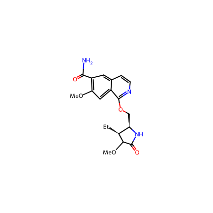 CC[C@@H]1C(OC)C(=O)N[C@@H]1COc1nccc2cc(C(N)=O)c(OC)cc12